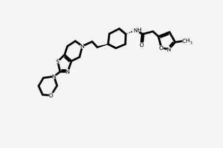 Cc1cc(CC(=O)N[C@H]2CC[C@H](CCN3CCc4sc(N5CCCOC5)nc4C3)CC2)on1